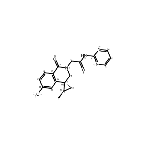 C[C@@H]1C[C@]12CN(CC(=O)Nc1ncccn1)C(=O)c1ccc(C(F)(F)F)cc12